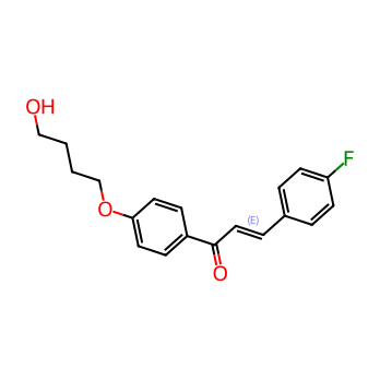 O=C(/C=C/c1ccc(F)cc1)c1ccc(OCCCCO)cc1